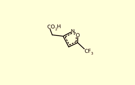 O=C(O)Cc1cc(C(F)(F)F)on1